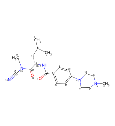 CC(C)C[C@H](NC(=O)c1ccc(N2CCN(C)CC2)cc1)C(=O)N(C)C#N